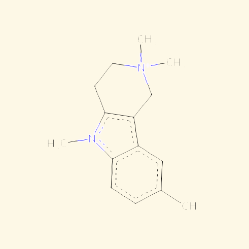 Cc1ccc2c(c1)c1c(n2C)CC[N+](C)(C)C1